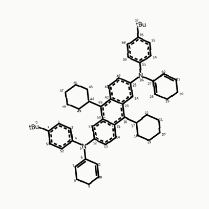 CC(C)(C)c1ccc(N(C2=CCCC=C2)c2ccc3c(C4CCCCC4)c4cc(N(C5=CCCC=C5)c5ccc(C(C)(C)C)cc5)ccc4c(C4CCCCC4)c3c2)cc1